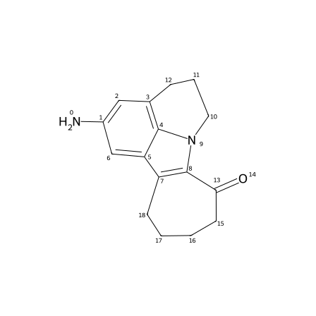 Nc1cc2c3c(c1)c1c(n3CCC2)C(=O)CCCC1